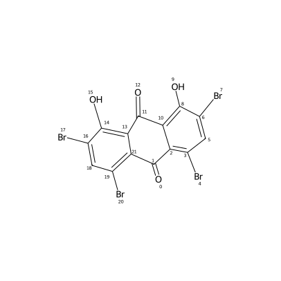 O=C1c2c(Br)cc(Br)c(O)c2C(=O)c2c(O)c(Br)cc(Br)c21